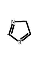 B1=CCN=[C]1